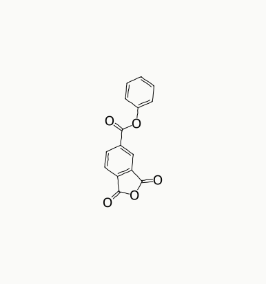 O=C(Oc1ccccc1)c1ccc2c(c1)C(=O)OC2=O